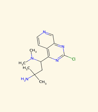 CN(C)C(CC(C)(C)N)c1nc(Cl)nc2cnccc12